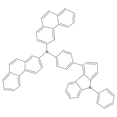 c1ccc(-n2c3ccccc3c3c(-c4ccc(N(c5ccc6c(ccc7ccccc76)c5)c5ccc6ccc7ccccc7c6c5)cc4)cccc32)cc1